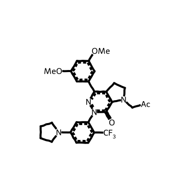 COc1cc(OC)cc(-c2nn(-c3cc(N4CCCC4)ccc3C(F)(F)F)c(=O)c3c2CCN3CC(C)=O)c1